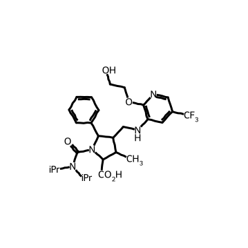 CC1C(CNc2cc(C(F)(F)F)cnc2OCCO)C(c2ccccc2)N(C(=O)N(C(C)C)C(C)C)C1C(=O)O